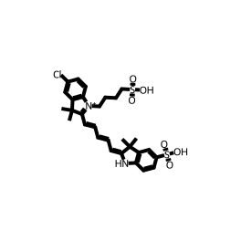 CC1(C)C(/C=C/C=C/C=C2/Nc3ccc(S(=O)(=O)O)cc3C2(C)C)=[N+](CCCCS(=O)(=O)O)c2ccc(Cl)cc21